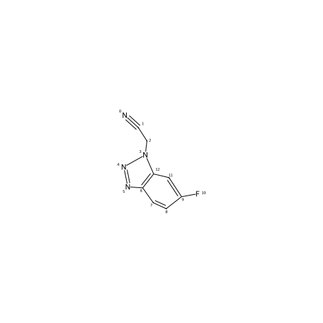 N#CCn1nnc2ccc(F)cc21